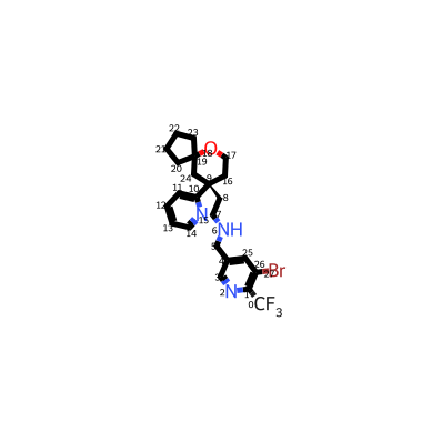 FC(F)(F)c1ncc(CNCC[C@]2(c3ccccn3)CCOC3(CCCC3)C2)cc1Br